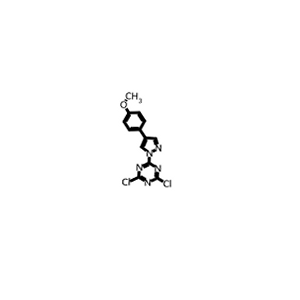 COc1ccc(-c2cnn(-c3nc(Cl)nc(Cl)n3)c2)cc1